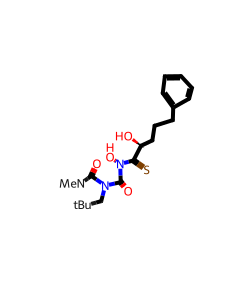 CNC(=O)N(CC(C)(C)C)C(=O)N(O)C(=S)[C@@H](O)CCCc1ccccc1